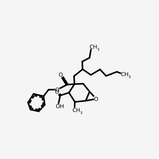 CCCCCC(CCC)CC1(C(=O)OCc2ccccc2)CC2OC2C(C)C1C(=O)O